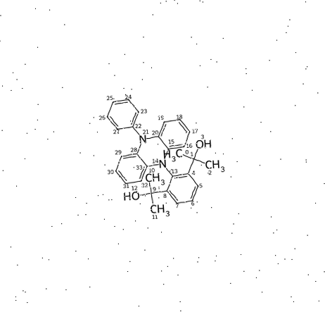 CC(C)(O)c1cccc(C(C)(C)O)c1N1c2ccccc2N(c2ccccc2)c2ccccc21